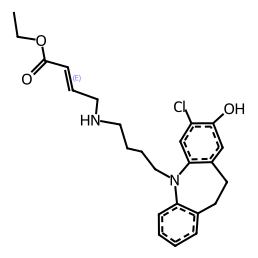 CCOC(=O)/C=C/CNCCCCN1c2ccccc2CCc2cc(O)c(Cl)cc21